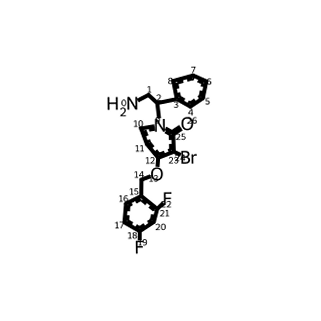 NCC(c1ccccc1)n1ccc(OCc2ccc(F)cc2F)c(Br)c1=O